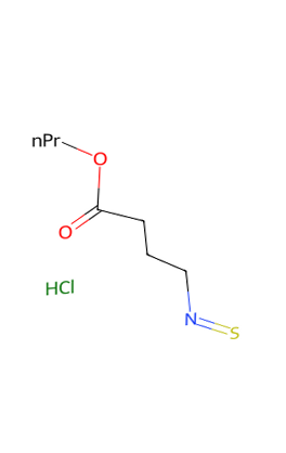 CCCOC(=O)CCCN=S.Cl